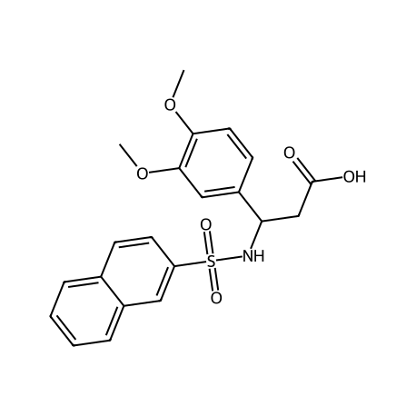 COc1ccc(C(CC(=O)O)NS(=O)(=O)c2ccc3ccccc3c2)cc1OC